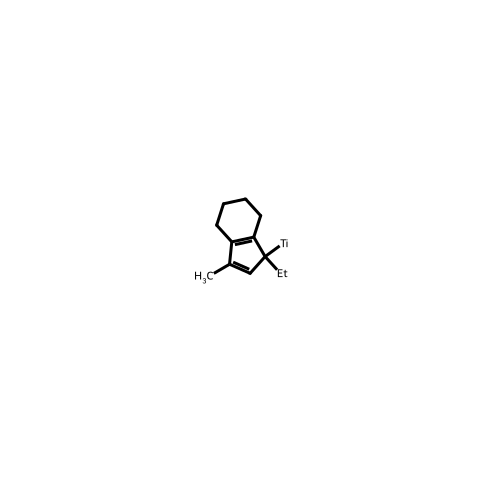 CC[C]1([Ti])C=C(C)C2=C1CCCC2